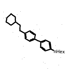 CCCCCCc1ccc(-c2ccc(CCC3CC[CH]CC3)cc2)cc1